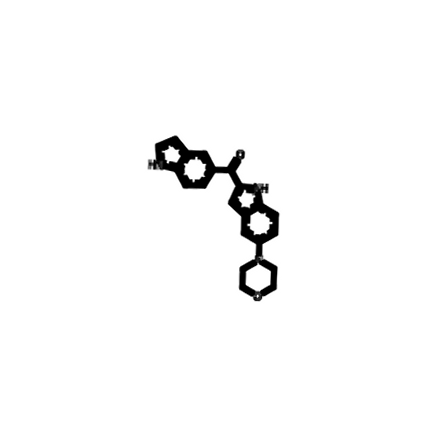 O=C(c1ccc2[nH]ccc2c1)c1cc2cc(N3CCOCC3)ccc2[nH]1